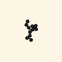 c1ccc(-c2cccc(-c3ccc(-n4c5ccc(-c6ccc7c(c6)c6ccccc6n7-c6ccccc6)cc5c5ccc(C(c6ccccc6)(c6ccccc6)c6ccccc6)cc54)cc3)c2)cc1